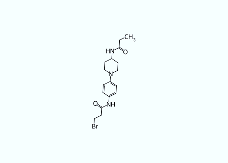 CCC(=O)NC1CCN(c2ccc(NC(=O)CCBr)cc2)CC1